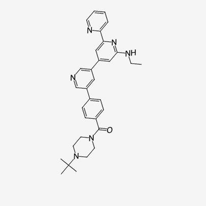 CCNc1cc(-c2cncc(-c3ccc(C(=O)N4CCN(C(C)(C)C)CC4)cc3)c2)cc(-c2ccccn2)n1